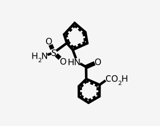 NS(=O)(=O)c1ccccc1NC(=O)c1ccccc1C(=O)O